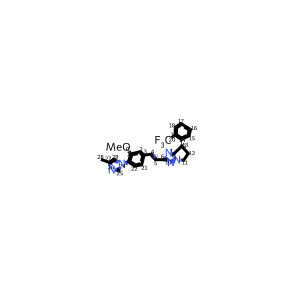 COc1cc(/C=C/c2nc3n(n2)CC[C@H]3c2ccccc2C(F)(F)F)ccc1-n1cnc(C)c1